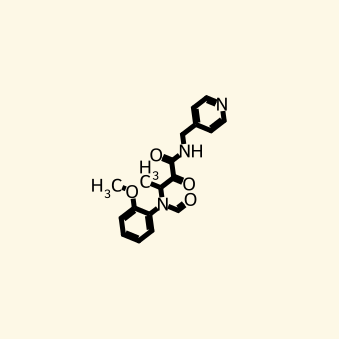 COc1ccccc1N(C=O)C(C)C(=O)C(=O)NCc1ccncc1